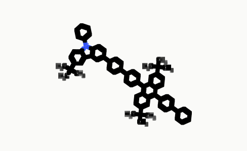 CC(C)(C)c1ccc2c(-c3ccc(-c4ccc(-c5ccc6c(c5)c5cc(C(C)(C)C)ccc5n6-c5ccccc5)cc4)cc3)c3cc(C(C)(C)C)ccc3c(-c3ccc(-c4ccccc4)cc3)c2c1